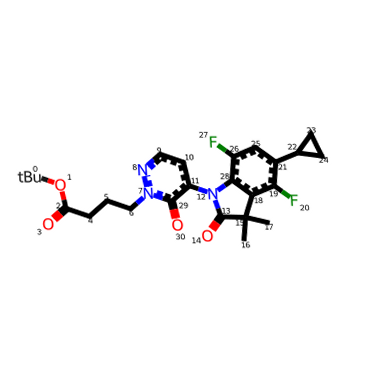 CC(C)(C)OC(=O)CCCn1nccc(N2C(=O)C(C)(C)c3c(F)c(C4CC4)cc(F)c32)c1=O